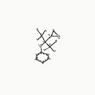 CC(C)(C)C(Oc1ccccc1)(C1CO1)C(C)(C)C